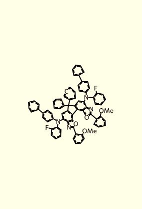 COc1ccccc1-c1nc2c(N(c3ccc(-c4ccccc4)cc3)c3ccccc3F)cc3c(c2o1)-c1c(cc(N(c2ccc(-c4ccccc4)cc2)c2ccccc2F)c2nc(-c4ccccc4OC)oc12)C3(c1ccccc1)c1ccccc1